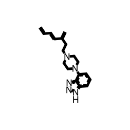 C=CC=CC(=C)CCN1CCN(c2cccc3[nH]nnc23)CC1